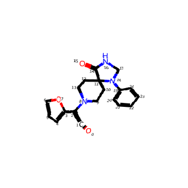 O=C=C(c1ccco1)N1CCC2(CC1)C(=O)NCN2c1ccccc1